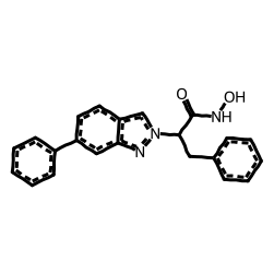 O=C(NO)C(Cc1ccccc1)n1cc2ccc(-c3ccccc3)cc2n1